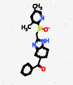 Cc1cnc([S+]([O-])Cc2nc3cc(C(=O)c4ccccc4)ccc3[nH]2)c(C)c1